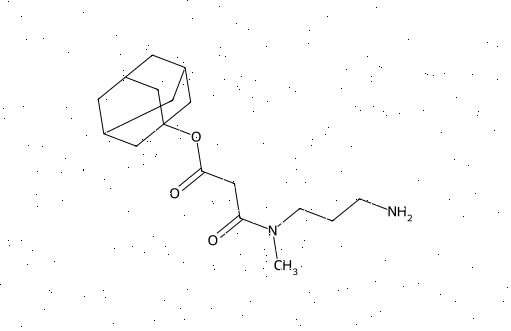 CN(CCCN)C(=O)CC(=O)OC12CC3CC(CC(C3)C1)C2